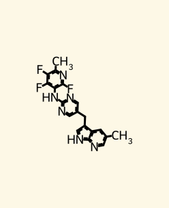 Cc1cnc2[nH]cc(Cc3cnc(Nc4c(F)nc(C)c(F)c4F)nc3)c2c1